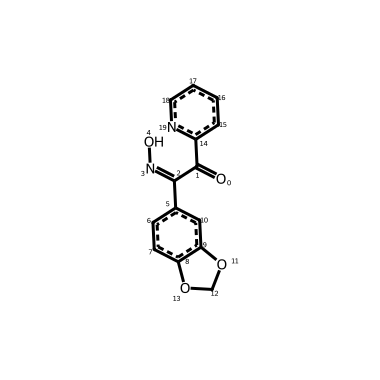 O=C(/C(=N\O)c1ccc2c(c1)OCO2)c1ccccn1